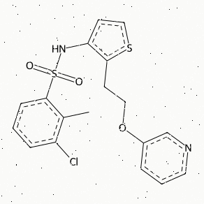 Cc1c(Cl)cccc1S(=O)(=O)Nc1ccsc1CCOc1cccnc1